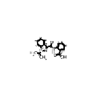 CC(C)n1nc(C(=O)Nc2ccccc2C(=O)O)c2ccccc21